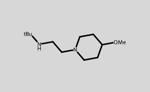 COC1CCN(CCNC(C)(C)C)CC1